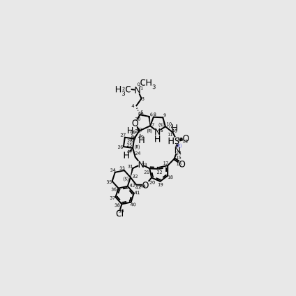 CN(C)CC[C@@H]1C[C@]23CC[C@@H](C/[SH](=O)=N\C(=O)c4ccc5c(c4)N(C[C@@H]4CC[C@H]4[C@H]2O1)C[C@@]1(CCCc2cc(Cl)ccc21)CO5)N3